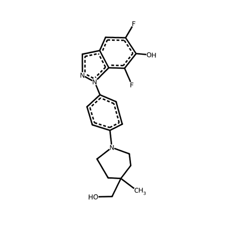 CC1(CO)CCN(c2ccc(-n3ncc4cc(F)c(O)c(F)c43)cc2)CC1